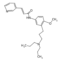 CCCN(CCC)CCCc1cc(NC(=O)C=Cc2cccnc2)ccc1OC